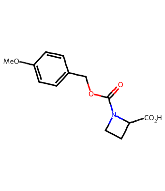 COc1ccc(COC(=O)N2CCC2C(=O)O)cc1